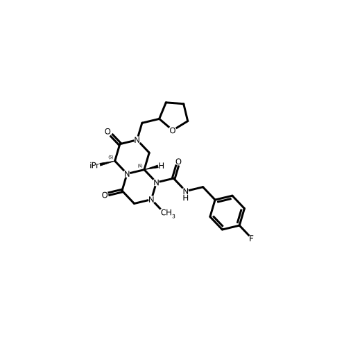 CC(C)[C@H]1C(=O)N(CC2CCCO2)C[C@H]2N1C(=O)CN(C)N2C(=O)NCc1ccc(F)cc1